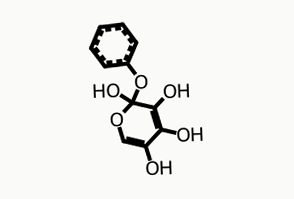 OC1=COC(O)(Oc2ccccc2)C(O)=C1O